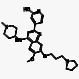 COc1cc2c(NC3CCN(C)CC3)cc(-c3ccnc(O)c3)nc2cc1OCCCN1CCCC1